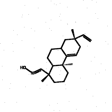 C=C[C@]1(C)CC=C2C(CCC3[C@@](C)(/C=N/O)CCC[C@]23C)C1